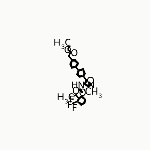 CCOC(=O)Cc1ccc(-c2ccc(-c3onc(C)c3NC(=O)OC(C)c3ccccc3C(F)(F)F)cc2)cc1